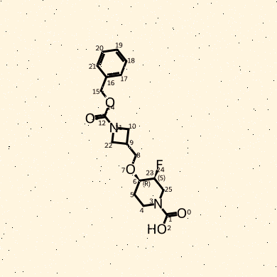 O=C(O)N1CC[C@@H](OCC2CN(C(=O)OCc3ccccc3)C2)[C@@H](F)C1